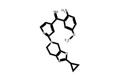 N=C(c1ccnc(N2CCc3nc(C4CC4)oc3C2)c1)c1cc(OC(F)(F)F)ccc1N